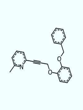 Cc1cccc(C#CCOc2ccccc2OCc2ccccc2)n1